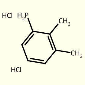 Cc1cccc(P)c1C.Cl.Cl